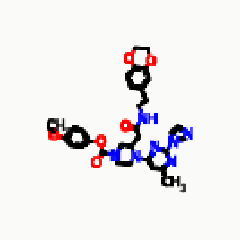 COc1ccc(OC(=O)N2CCN(c3cc(C)nc(-n4ccnc4)n3)C(CC(=O)NCCc3ccc4c(c3)OCCO4)C2)cc1